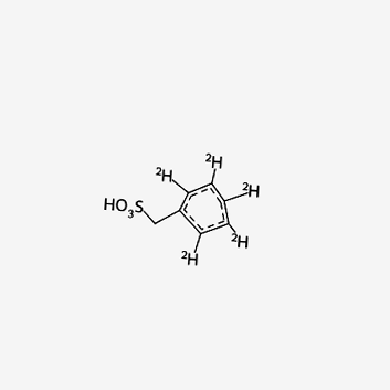 [2H]c1c([2H])c([2H])c(CS(=O)(=O)O)c([2H])c1[2H]